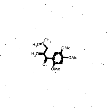 C=C(CN(C)C)C(=O)c1cc(OC)c(OC)cc1OC